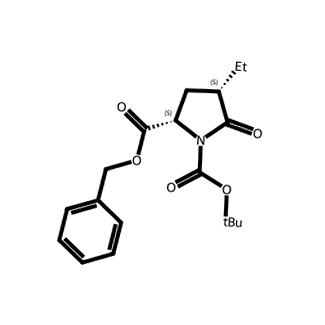 CC[C@H]1C[C@@H](C(=O)OCc2ccccc2)N(C(=O)OC(C)(C)C)C1=O